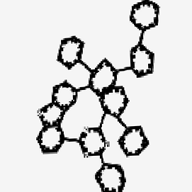 c1ccc(-c2cccc(-c3ccc(-c4ccc5sc6cccc(-c7nc(-c8ccccc8)nc(-c8ccccc8-c8ccccc8)n7)c6c5c4)c(-c4ccccc4)c3)c2)cc1